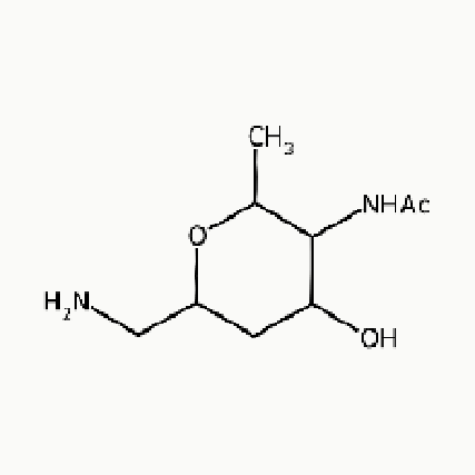 CC(=O)NC1C(O)CC(CN)OC1C